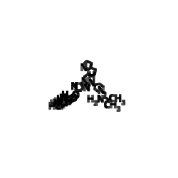 CC(C)C(N)CN1CCC(Nc2nc3ccncc3n2Cc2cccc3cccnc23)CC1.Cl.Cl.Cl.O.O.O.O